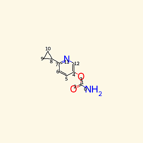 NC(=O)Oc1ccc(C2CC2)nc1